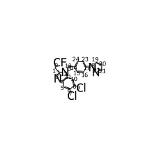 FC(F)(F)Cc1nc2cc(Cl)c(Cl)cc2n1Cc1ccc(-n2cccn2)cc1